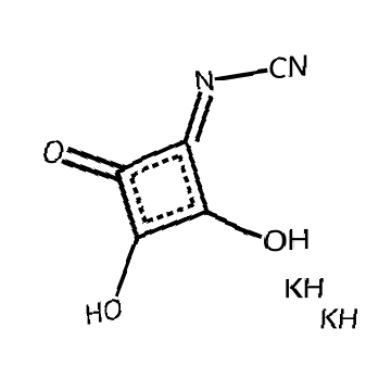 N#CN=c1c(O)c(O)c1=O.[KH].[KH]